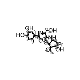 Cc1cc(O)c(O)cc1C(=O)N[C@@H](CO)C(=O)NC(CC(C)C)C(=O)C1(CO)CO1